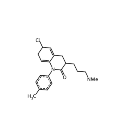 CNCCCC1CC2=CC(Cl)CC=C2N(c2ccc(C)cc2)C1=O